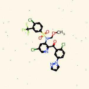 COCN(c1cc(Cl)cnc1C(=O)c1cc(-n2cccn2)ccc1Cl)S(=O)(=O)c1ccc(Cl)c(C(F)(F)F)c1